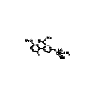 COc1cc(-c2ccc(CO[Si](C)(C)C(C)(C)C)cc2C(O)C(C)(C)C)c(F)cn1